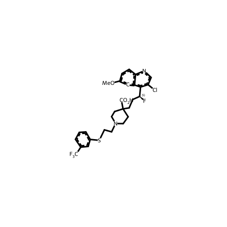 COc1ccc2ncc(Cl)c([C@@H](F)CCC3(C(=O)O)CCN(CCSc4cccc(C(F)(F)F)c4)CC3)c2c1